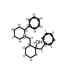 OC1(Cc2ccccc2)CCCCC1CN1CCCCC1c1ccccc1